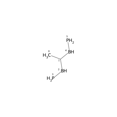 CC(BP)BP